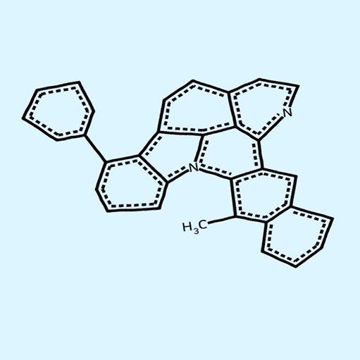 Cc1c2ccccc2cc2c3nccc4ccc5c6c(-c7ccccc7)cccc6n(c12)c5c43